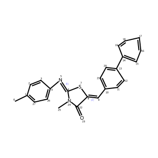 Cc1ccc(/N=C2/S/C(=C\c3ccc(-c4ccccc4)cc3)C(=O)N2C)cc1